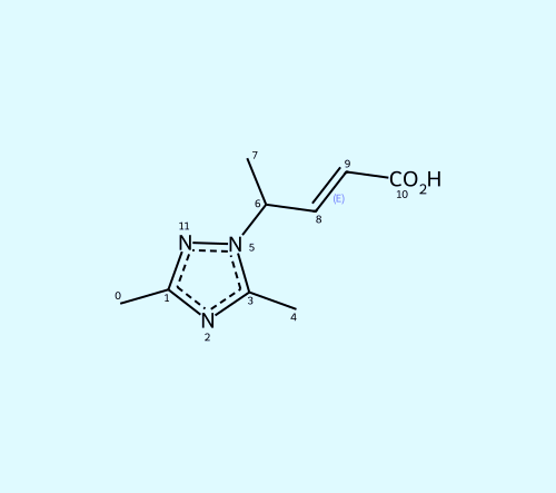 Cc1nc(C)n(C(C)/C=C/C(=O)O)n1